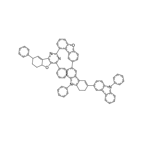 C1=C(c2ccc3c(c2)c2ccccc2n3-c2ccccc2)CCc2c1c1cc(-c3ccc4oc5cccc(-c6nc7c(c(-c8ccccc8)n6)OC6CCC(c8ccccc8)C=C76)c5c4c3)ccc1n2-c1ccccc1